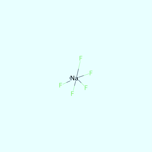 [F][Na]([F])([F])([F])[F]